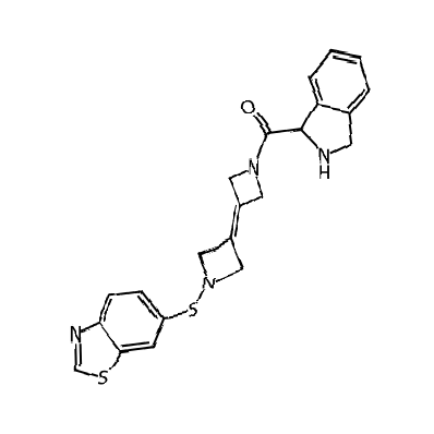 O=C(C1NCc2ccccc21)N1CC(=C2CN(Sc3ccc4ncsc4c3)C2)C1